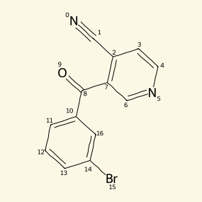 N#Cc1ccncc1C(=O)c1cccc(Br)c1